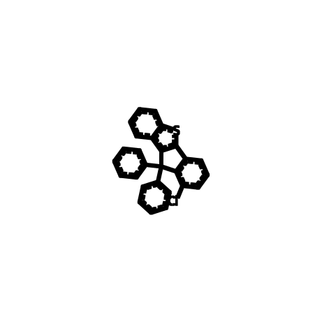 Clc1cccc2c1C(c1ccccc1)(c1ccccc1)c1c-2sc2ccccc12